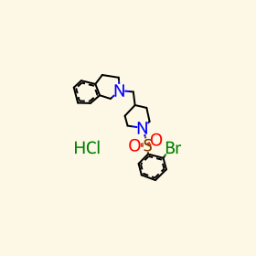 Cl.O=S(=O)(c1ccccc1Br)N1CCC(CN2CCc3ccccc3C2)CC1